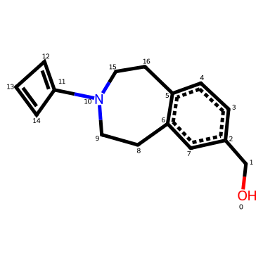 OCc1ccc2c(c1)CCN(C1=CC=C1)CC2